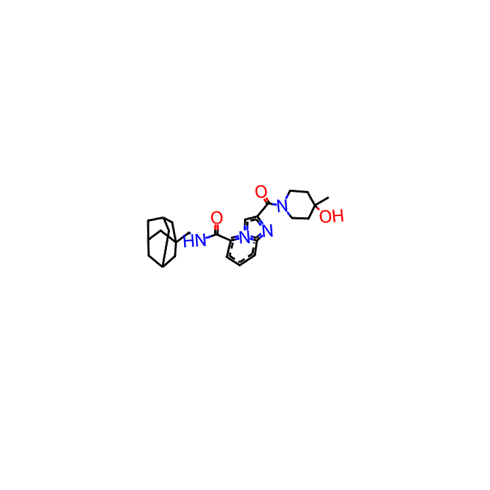 CC1(O)CCN(C(=O)c2cn3c(C(=O)NCC45CC6CC(CC(C6)C4)C5)cccc3n2)CC1